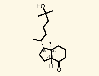 CC(CCCC(C)(C)O)[C@H]1CC[C@H]2C(=O)CCC[C@]12C